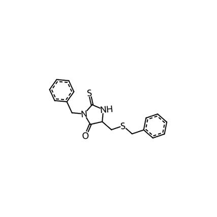 O=C1C(CSCc2ccccc2)NC(=S)N1Cc1ccccc1